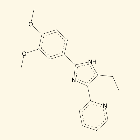 CCc1[nH]c(-c2ccc(OC)c(OC)c2)nc1-c1ccccn1